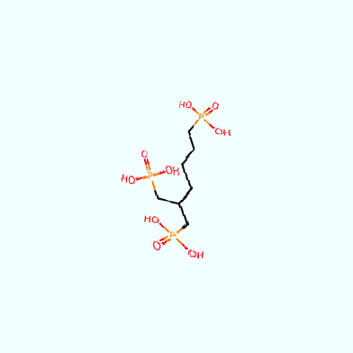 O=P(O)(O)CCCCC(CP(=O)(O)O)CP(=O)(O)O